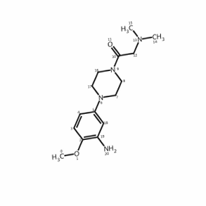 COc1ccc(N2CCN(C(=O)CN(C)C)CC2)cc1N